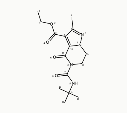 CCOC(=O)c1c(I)nn2c1C(=O)N(C(=O)NC(C)(C)C)CC2